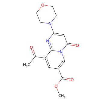 COC(=O)c1cc(C(C)=O)c2nc(N3CCOCC3)cc(=O)n2c1